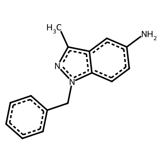 Cc1nn(Cc2ccccc2)c2ccc(N)cc12